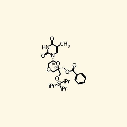 Cc1cn([C@H]2COC[C@](COC(=O)c3ccccc3)(CO[Si](C(C)C)(C(C)C)C(C)C)O2)c(=O)[nH]c1=O